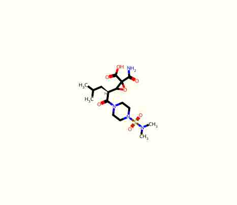 CC(C)C[C@H](C(=O)N1CCN(S(=O)(=O)N(C)C)CC1)C1OC1(C(N)=O)C(=O)O